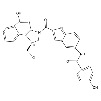 O=C(Nc1ccc2nc(C(=O)N3C[C@@H](CCl)c4c3cc(O)c3ccccc43)cn2c1)c1ccc(O)cc1